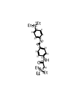 CCN(CC)c1ccc(/N=N/c2ccc(NC(=O)C[N+](CC)(CC)CC)cc2)cc1